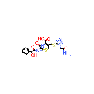 NC(=O)Cn1nnnc1SCC1=C(C(=O)O)N2C(=O)C(NC(=O)C(O)c3ccccc3)[C@@H]2SC1